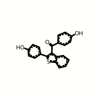 O=C(c1ccc(O)cc1)c1c(-c2ccc(O)cc2)sc2ccccc12